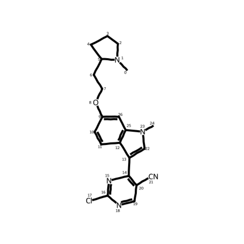 CN1CCCC1CCOc1ccc2c(-c3nc(Cl)ncc3C#N)cn(C)c2c1